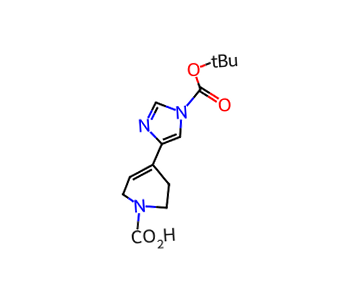 CC(C)(C)OC(=O)n1cnc(C2=CCN(C(=O)O)CC2)c1